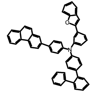 c1ccc(-c2ccccc2-c2ccc(N(c3ccc(-c4ccc5c(ccc6ccccc65)c4)cc3)c3cccc(-c4cc5ccccc5o4)c3)cc2)cc1